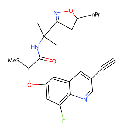 C#Cc1cnc2c(F)cc(OC(SC)C(=O)NC(C)(C)C3=NOC(CCC)C3)cc2c1